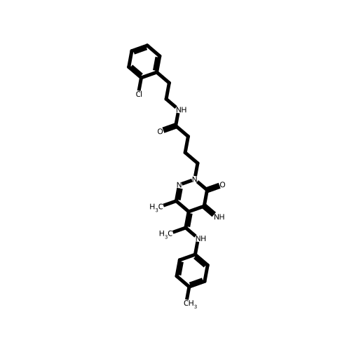 CC1=NN(CCCC(=O)NCCc2ccccc2Cl)C(=O)C(=N)/C1=C(/C)Nc1ccc(C)cc1